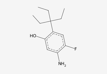 CCC(CC)(CC)c1cc(F)c(N)cc1O